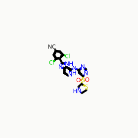 N#Cc1cc(Cl)c(-c2nc3ccnc(Nc4cc(S(=O)(=O)C5CNCCS5)ncn4)c3[nH]2)c(Cl)c1